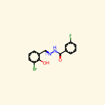 O=C(N/N=C/c1cccc(Br)c1O)c1cccc(F)c1